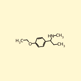 CCOc1ccc(C(CC)NC)cc1